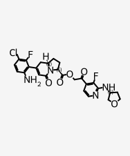 Nc1ccc(Cl)c(F)c1C1=CC(=O)N2[C@H](CC[C@H]2C(=O)OCC(=O)c2ccnc(N[C@H]3CCOC3)c2F)C1